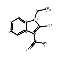 CC(C)C(=O)c1c(Cl)n(CC(F)(F)F)c2ccccc12